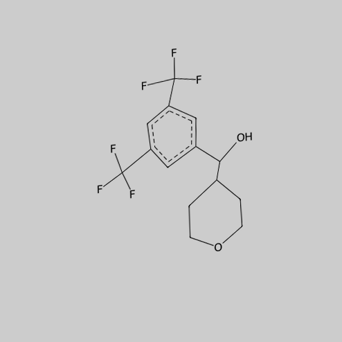 OC(c1cc(C(F)(F)F)cc(C(F)(F)F)c1)C1CCOCC1